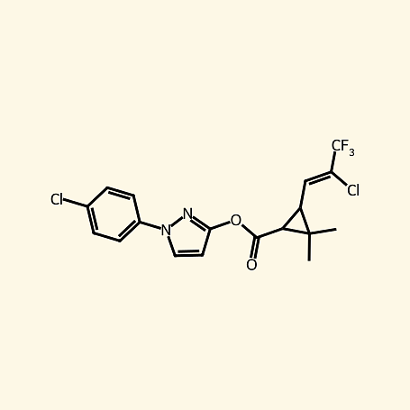 CC1(C)C(/C=C(\Cl)C(F)(F)F)C1C(=O)Oc1ccn(-c2ccc(Cl)cc2)n1